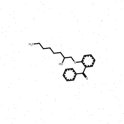 CCCCCCC(O)COc1ccccc1C(=O)c1ccccc1